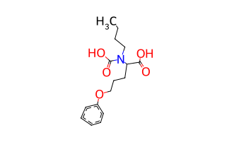 CCCCN(C(=O)O)C(CCCOc1ccccc1)C(=O)O